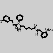 COc1ccccc1CNC(=O)CCCCc1nnc(SCc2cccc(Cl)c2)n1-c1ccccc1